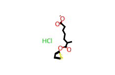 COC(=O)CCCCC(C)C(=O)Oc1cccs1.Cl